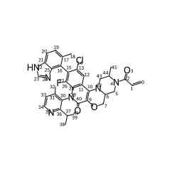 C=CC(=O)N1CC2COc3c(c4cc(Cl)c(-c5c(C)ccc6[nH]cnc56)c(F)c4n(-c4c(C)ccnc4C(C)C)c3=O)N2CC1C